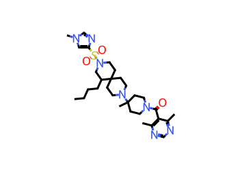 CCCCC1CN(S(=O)(=O)c2cn(C)cn2)CCC12CCN(C1(C)CCN(C(=O)c3c(C)ncnc3C)CC1)CC2